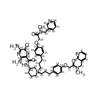 CN(Cc1cccnc1)C(=O)COc1ccc(CCC[N+]2(CCCc3ccc(OCC(=O)N(C)Cc4cccnc4)cc3)CCC[C@H](NC(=O)c3nc(Cl)c(N)nc3N)C2)cc1